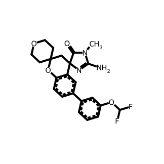 CN1C(=O)C2(CC3(CCOCC3)Oc3ccc(-c4cccc(OC(F)F)c4)cc32)N=C1N